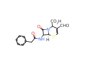 O=CC1=CS[C@H]2C(NC(=O)Cc3ccccc3)C(=O)N2C1C(=O)O